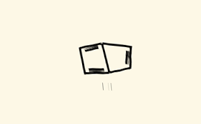 I.c1cc2ccc1-2